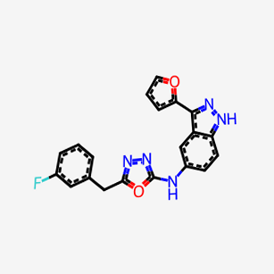 Fc1cccc(Cc2nnc(Nc3ccc4[nH]nc(-c5ccco5)c4c3)o2)c1